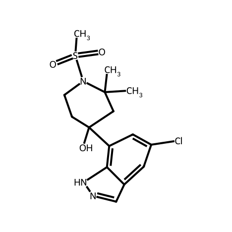 CC1(C)CC(O)(c2cc(Cl)cc3cn[nH]c23)CCN1S(C)(=O)=O